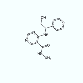 NNC(=O)c1cncnc1NC(CO)c1ccccc1